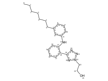 CCCCCCCc1cccc(Nc2ccccc2-c2nnn(CCO)n2)c1